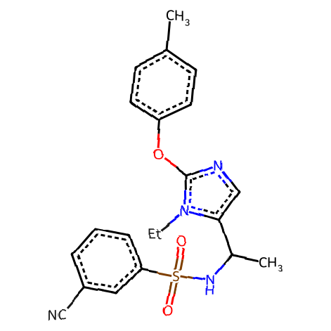 CCn1c(C(C)NS(=O)(=O)c2cccc(C#N)c2)cnc1Oc1ccc(C)cc1